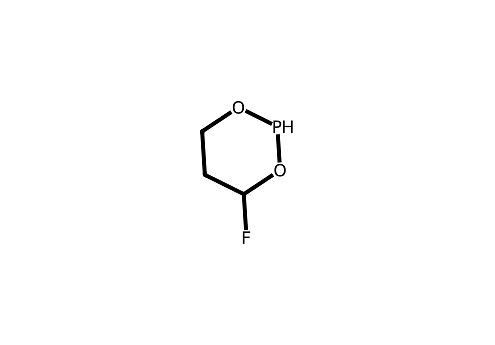 FC1CCOPO1